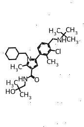 Cc1c(-c2cc(C(=O)NCC(C)(C)O)c(C)n2CC2CCCCC2)ccc(CNC(C)(C)C)c1Cl